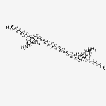 CCCCCCCCCCCC(c1ccc(CCCCCCCCCCCCCCCCCCCCc2ccc(C(CCCCCCCCCCC)c3ccc(N)cc3C)cc2)cc1)c1ccc(N)cc1C